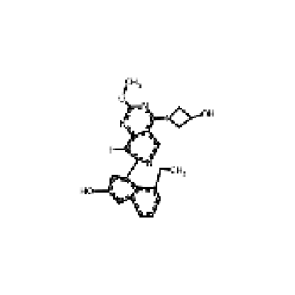 CCc1cccc2cc(O)cc(-c3ncc4c(N5CC(O)C5)nc(OC)nc4c3F)c12